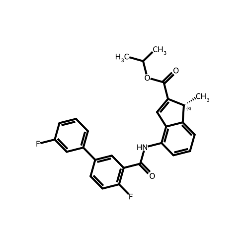 CC(C)OC(=O)C1=Cc2c(NC(=O)c3cc(-c4cccc(F)c4)ccc3F)cccc2[C@H]1C